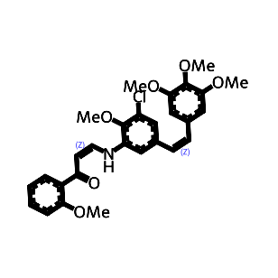 COc1ccccc1C(=O)/C=C\Nc1cc(/C=C\c2cc(OC)c(OC)c(OC)c2)cc(Cl)c1OC